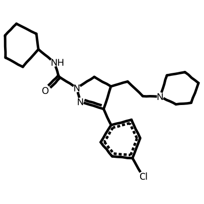 O=C(NC1CCCCC1)N1CC(CCN2CCCCC2)C(c2ccc(Cl)cc2)=N1